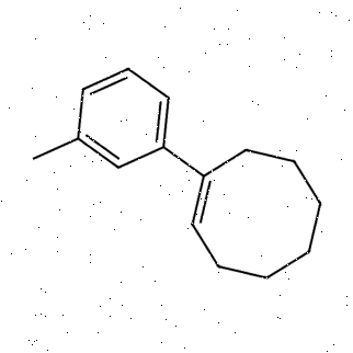 Cc1cccc(/C2=C/CCCCCC2)c1